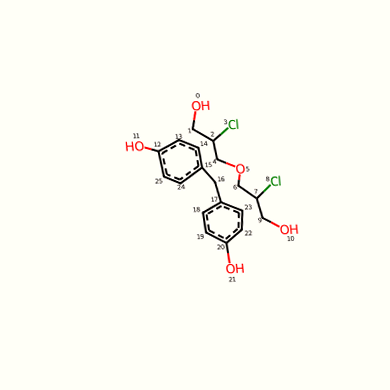 OCC(Cl)COCC(Cl)CO.Oc1ccc(Cc2ccc(O)cc2)cc1